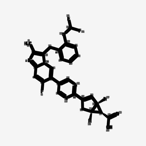 Cc1nc2cc(F)c(-c3cnc(C4=C[C@@H]5[C@H](C4)[C@H]5C(=O)O)nc3)cn2c1Cc1ccccc1OC(F)F